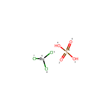 O=S(=O)(O)O.[Cl][Ru]([Cl])[Cl]